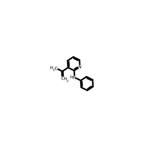 C=C(C)c1cccnc1Nc1ccccc1